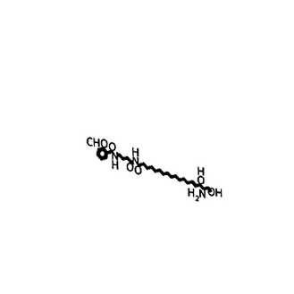 NC(CO)C(O)C=CCCCCCCCCCCCCC(=O)NC(=O)CCCNC(=O)c1ccccc1C=O